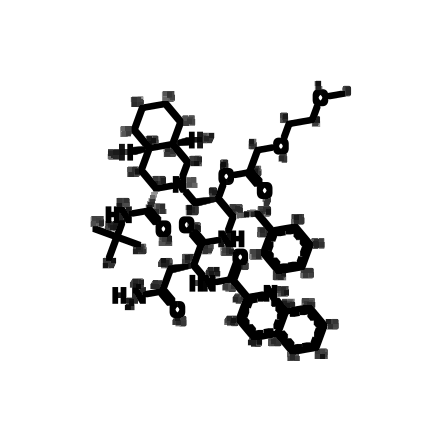 COCCOCC(=O)O[C@H](CN1C[C@H]2CCCC[C@H]2C[C@H]1C(=O)NC(C)(C)C)[C@H](Cc1ccccc1)NC(=O)[C@H](CC(N)=O)NC(=O)c1ccc2ccccc2n1